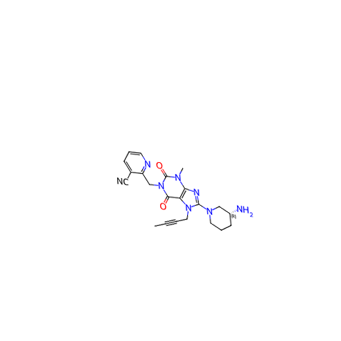 CC#CCn1c(N2CCC[C@@H](N)C2)nc2c1c(=O)n(Cc1ncccc1C#N)c(=O)n2C